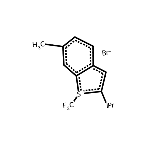 Cc1ccc2cc(C(C)C)[s+](C(F)(F)F)c2c1.[Br-]